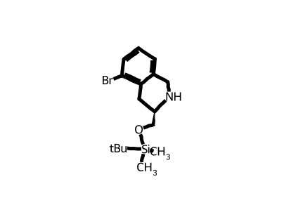 CC(C)(C)[Si](C)(C)OC[C@H]1Cc2c(Br)cccc2CN1